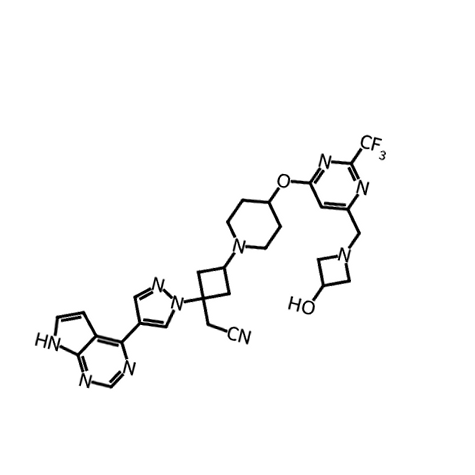 N#CCC1(n2cc(-c3ncnc4[nH]ccc34)cn2)CC(N2CCC(Oc3cc(CN4CC(O)C4)nc(C(F)(F)F)n3)CC2)C1